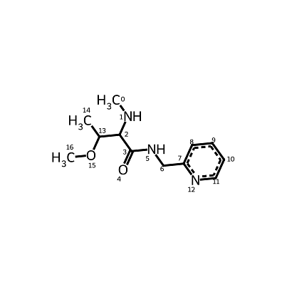 CNC(C(=O)NCc1ccccn1)C(C)OC